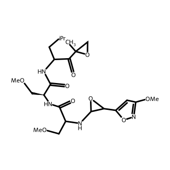 COCC(NC1OC1c1cc(OC)no1)C(=O)N[C@@H](COC)C(=O)NC(CC(C)C)C(=O)C1(C)CO1